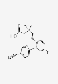 N#Cc1ccc(-c2cc(F)ccc2SCC2(CC(=O)O)CC2)cc1